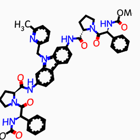 COC(=O)N[C@@H](C(=O)N1CCC[C@H]1C(=O)Nc1ccc2c3ccc(NC(=O)[C@@H]4CCCN4C(=O)[C@H](NC(=O)OC)c4ccccc4)cc3n(Cc3cccc(C)n3)c2c1)c1ccccc1